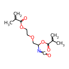 C=C(C)C(=O)OCCOCC(N=C=O)OC(=O)C(=C)C